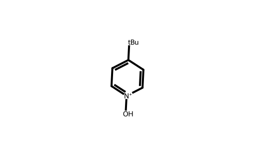 CC(C)(C)c1cc[n+](O)cc1